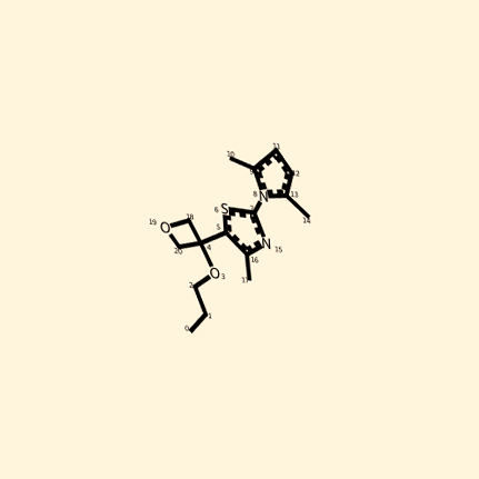 CCCOC1(c2sc(-n3c(C)ccc3C)nc2C)COC1